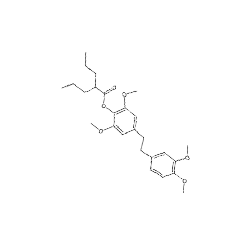 CCCC(CCC)C(=O)Oc1c(OC)cc(CCc2ccc(OC)c(OC)c2)cc1OC